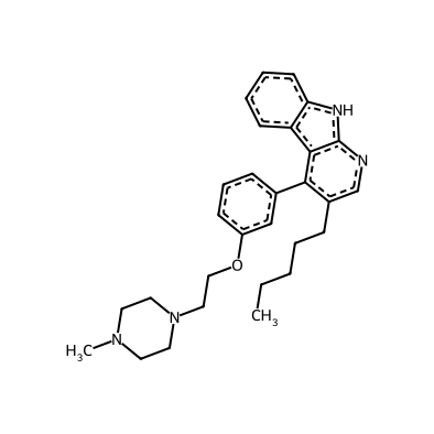 CCCCCc1cnc2[nH]c3ccccc3c2c1-c1cccc(OCCN2CCN(C)CC2)c1